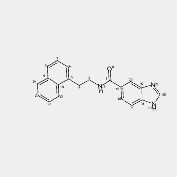 O=C(NCCc1cccc2ccccc12)c1ccc2[nH][c]nc2c1